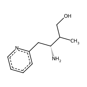 CC(CO)[C@H](N)Cc1ccccn1